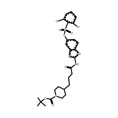 CC(C)(C)OC(=O)N1CCC(CCCC(=O)Nc2nc3ccc(OS(=O)(=O)c4c(Cl)cccc4Cl)cc3s2)CC1